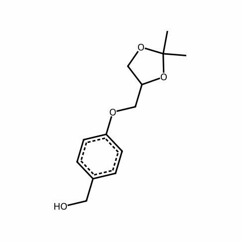 CC1(C)OCC(COc2ccc(CO)cc2)O1